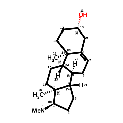 CN[C@@H]1CC[C@H]2[C@@H]3CC=C4C[C@@H](O)CC[C@]4(C)[C@H]3CC[C@]12C